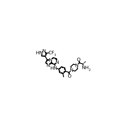 Cc1cc(Nc2nccn3c(-c4c[nH]nc4C(F)(F)F)cnc23)ccc1C(=O)N1CCN(C(=O)[C@@H](C)N)CC1